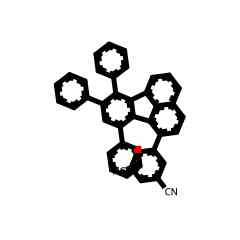 N#Cc1cc(C#N)cc(-c2ccc3cccc4c3c2-c2c(-c3ccccc3)cc(-c3ccccc3)c(-c3ccccc3)c2-4)c1